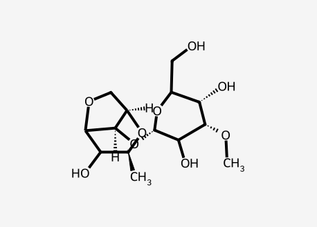 CO[C@@H]1C(O)[C@H](O[C@H]2C3OC[C@H]2O[C@@H](C)C3O)OC(CO)[C@@H]1O